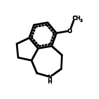 COc1ccc2c3c1CCNCC3CC2